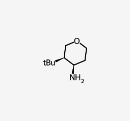 CC(C)(C)[C@H]1COCC[C@H]1N